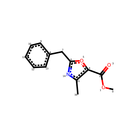 COC(=O)c1oc(Cc2ccccc2)nc1C